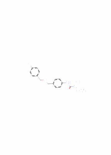 CON(C)C(=O)Nc1ccc(COCc2ccc(C(F)(F)F)cc2)cc1